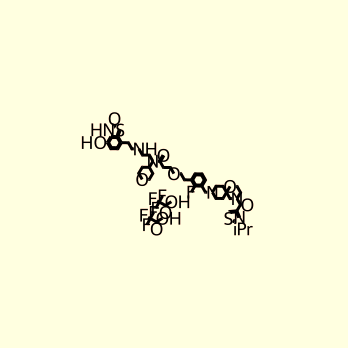 CC(C)c1nc(C(=O)N2CCOC3(CCN(Cc4cccc(CCOCCC(=O)N(CCNCCc5ccc(O)c6[nH]c(=O)sc56)C5CCOCC5)c4F)CC3)C2)cs1.O=C(O)C(F)(F)F.O=C(O)C(F)(F)F